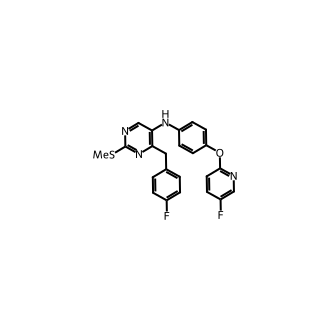 CSc1ncc(Nc2ccc(Oc3ccc(F)cn3)cc2)c(Cc2ccc(F)cc2)n1